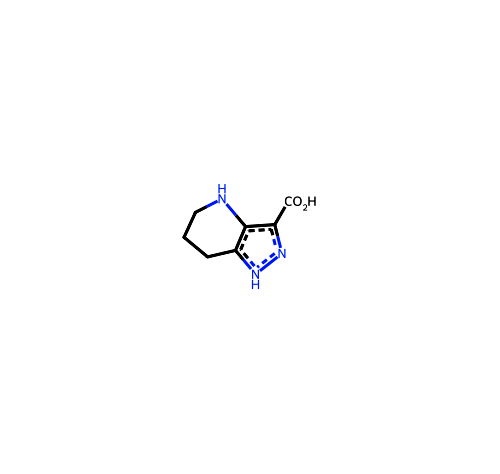 O=C(O)c1n[nH]c2c1NCCC2